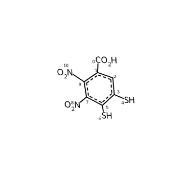 O=C(O)c1cc(S)c(S)c([N+](=O)[O-])c1[N+](=O)[O-]